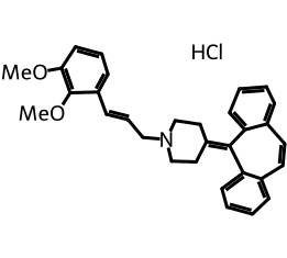 COc1cccc(C=CCN2CCC(=C3c4ccccc4C=Cc4ccccc43)CC2)c1OC.Cl